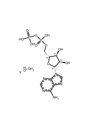 Nc1ncnc2c1ncn2[C@@H]1O[C@H](COP(=O)(O)OP(=O)(O)O)[C@@H](O)[C@H]1O.O.O.[V]